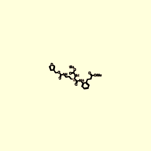 COC(=O)CCc1ccccc1NC(=O)[C@H](CCCNC(=O)OCc1ccoc1)NC(=O)OC(C)(C)C